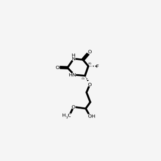 COC(O)CCO[C@@H]1NC(=O)NC(=O)[C@@H]1F